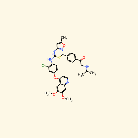 COc1cc2nccc(Oc3ccc(N/C(=N/c4cc(C)on4)SCc4ccc(C(=O)CNC(C)C)cc4)c(Cl)c3)c2cc1OC